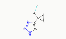 FCC1(c2c[nH]nn2)CC1